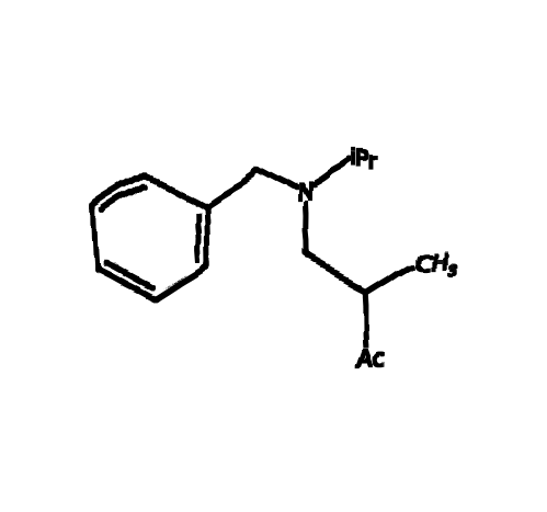 CC(=O)C(C)CN(Cc1ccccc1)C(C)C